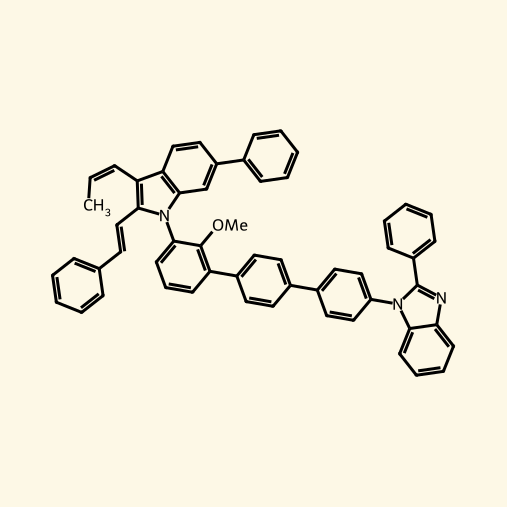 C/C=C\c1c(/C=C/c2ccccc2)n(-c2cccc(-c3ccc(-c4ccc(-n5c(-c6ccccc6)nc6ccccc65)cc4)cc3)c2OC)c2cc(-c3ccccc3)ccc12